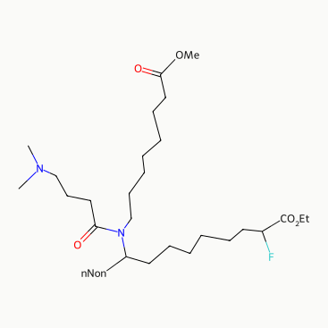 CCCCCCCCCC(CCCCCCC(F)C(=O)OCC)N(CCCCCCCC(=O)OC)C(=O)CCCN(C)C